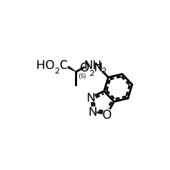 C[C@H](N)C(=O)O.O=[N+]([O-])c1cccc2onnc12